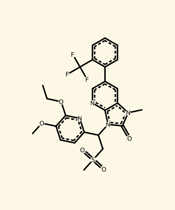 CCOc1nc(C(CS(C)(=O)=O)n2c(=O)n(C)c3cc(-c4ccccc4C(F)(F)F)cnc32)ccc1OC